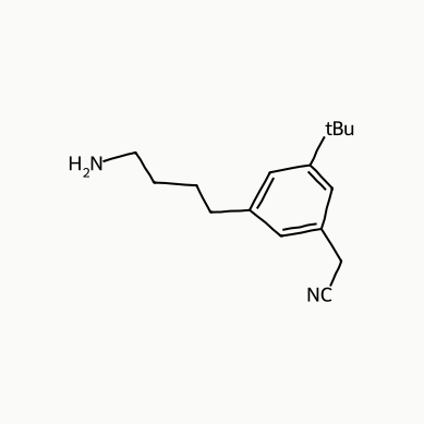 CC(C)(C)c1cc(CC#N)cc(CCCCN)c1